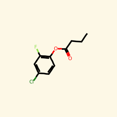 CCCC(=O)Oc1ccc(Cl)cc1F